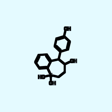 Oc1ccc(C2c3ccccc3S(O)(O)CCC2O)cc1